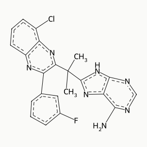 CC(C)(c1nc2c(N)ncnc2[nH]1)c1nc2c(Cl)cccc2nc1-c1cccc(F)c1